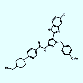 COc1ccc(Cn2nc(NC(=O)c3ccc(N4CCC(CO)CC4)nc3)cc2-c2nc3cc(Cl)ccc3[nH]2)cc1